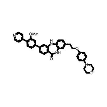 COc1cc(-c2ccc3c(c2)Nc2ccc(CCOc4ccc(N5CCOCC5)cc4)cc2NC3=O)ccc1-c1ccncc1